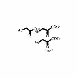 CC(=O)CC(=O)C(=O)[O-].CC(=O)CC(=O)C(=O)[O-].CC(=O)CC(=O)C(=O)[O-].[Tm+3]